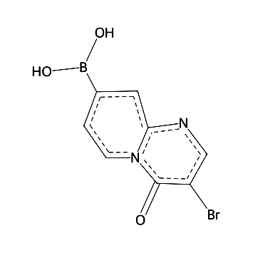 O=c1c(Br)cnc2cc(B(O)O)ccn12